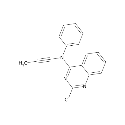 CC#CN(c1ccccc1)c1nc(Cl)nc2ccccc12